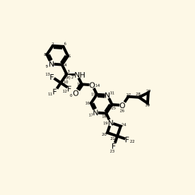 O=C(N[C@H](c1ccccn1)C(F)(F)F)Oc1cnc(N2CC(F)(F)C2)c(OCC2CC2)n1